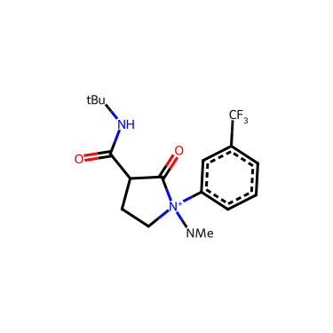 CN[N+]1(c2cccc(C(F)(F)F)c2)CCC(C(=O)NC(C)(C)C)C1=O